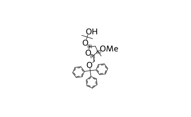 CO[C@@]1(C)C[C@@H](OC(C)(C)O)O[C@@H]1COC(c1ccccc1)(c1ccccc1)c1ccccc1